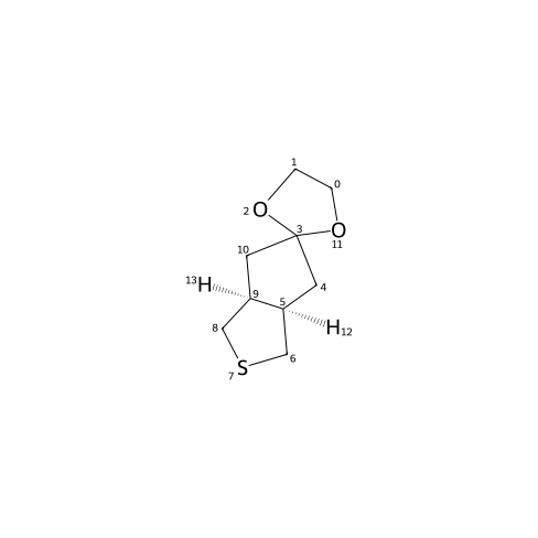 C1COC2(C[C@H]3CSC[C@H]3C2)O1